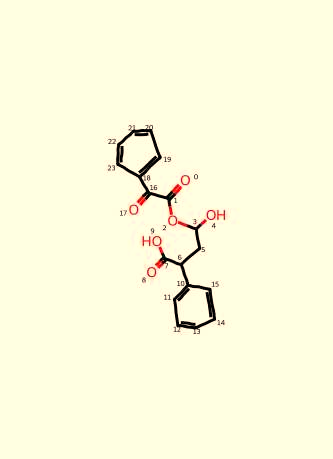 O=C(OC(O)CC(C(=O)O)c1ccccc1)C(=O)c1ccccc1